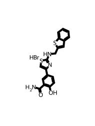 Br.NC(=O)c1cc(-c2csc(NCc3cc4ccccc4s3)n2)ccc1O